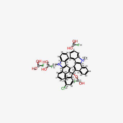 CCn1c2ccccc2c2cc(C(OB(O)F)(c3ccc(Cl)cc3)c3cc4c5ccccc5n(CC)c4c4ccccc34)c3ccccc3c21.OB(O)F.OB(O)F.OB(O)F